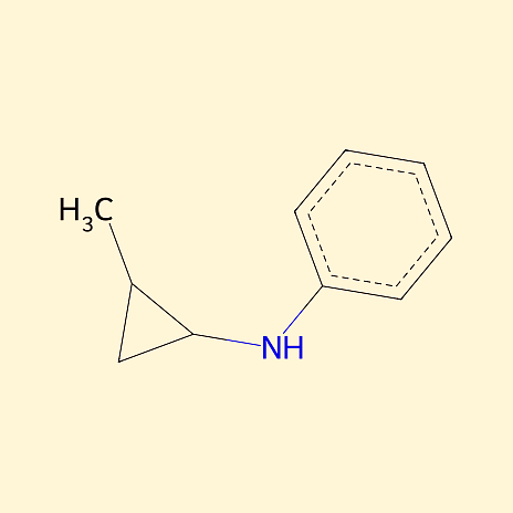 CC1CC1Nc1ccccc1